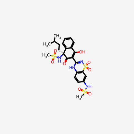 CC(C)CC[C@@]1(NS(C)(=O)=O)C(=O)C(C2=NS(=O)(=O)c3cc(NS(C)(=O)=O)ccc3N2)=C(O)c2ccccc21